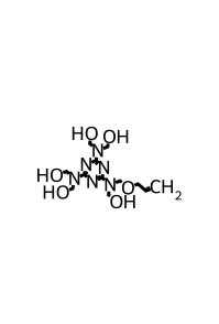 C=CCOCN(CO)c1nc(N(CO)CO)nc(N(CO)CO)n1